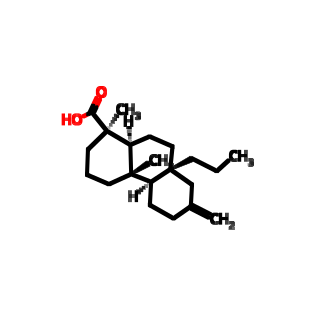 C=C1CC[C@@H]2[C@](CCC)(CC[C@H]3[C@@]2(C)CCC[C@@]3(C)C(=O)O)C1